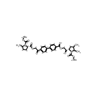 CC1C[C@@H](C(=O)COC(=O)c2ccc(-c3ccc(C(=O)COC(=O)[C@@H]4CCC(C)N4C(=O)OC(C)(C)C)cc3)cc2)N(C(=O)OC(C)(C)C)C1C